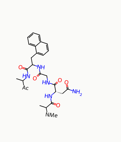 CNC(C)C(=O)N[C@@H](CC(N)=O)C(=O)NCC(=O)NC(Cc1cccc2ccccc12)C(=O)NC(C)C(C)=O